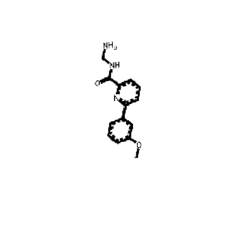 COc1cccc(-c2cccc(C(=O)NCN)n2)c1